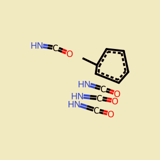 Cc1ccccc1.N=C=O.N=C=O.N=C=O.N=C=O